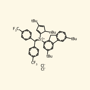 CCCCC1C=C(C(C)(C)C)C=[C]1[Zr+2](=[C](c1ccc(C(F)(F)F)cc1)c1ccc(C(F)(F)F)cc1)[c]1cc(C(C)(C)C)cc2c1Cc1ccc(C(C)(C)C)cc1-2.[Cl-].[Cl-]